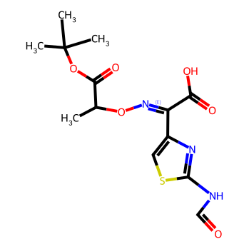 CC(O/N=C(/C(=O)O)c1csc(NC=O)n1)C(=O)OC(C)(C)C